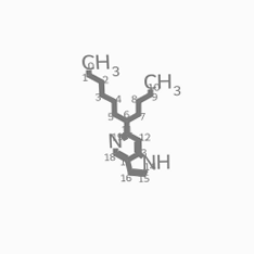 CCCCCCC(CCCC)c1cc2[nH]ccc2cn1